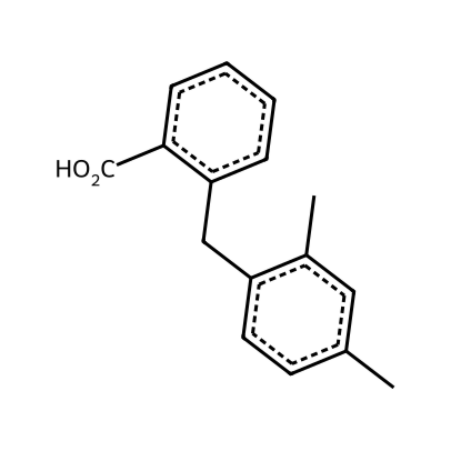 Cc1ccc(Cc2ccccc2C(=O)O)c(C)c1